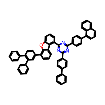 c1ccc(-c2ccc(-c3nc(-c4ccc(-c5cccc6ccccc56)cc4)nc(-c4cccc5oc6c(-c7ccc(-c8ccccc8)c(-c8ccccc8)c7)cccc6c45)n3)cc2)cc1